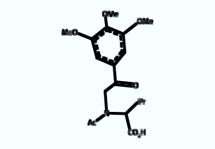 COc1cc(C(=O)CN(C(C)=O)C(C(=O)O)C(C)C)cc(OC)c1OC